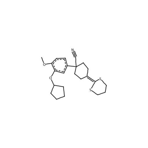 COc1ccc(C2(C#N)CCC(=C3SCCCS3)CC2)cc1OC1CCCC1